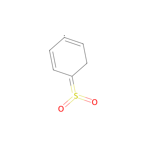 O=S(=O)=C1C=C[C]=CC1